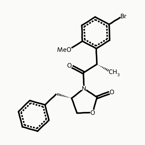 COc1ccc(Br)cc1[C@H](C)C(=O)N1C(=O)OC[C@@H]1Cc1ccccc1